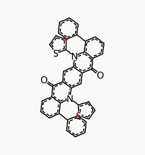 O=c1c2cc3c(cc2n(-c2cccs2)c2c(-c4ccccc4)cccc12)c(=O)c1cccc(-c2ccccc2)c1n3-c1cccs1